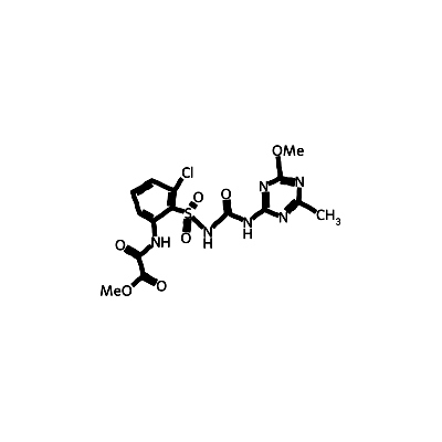 COC(=O)C(=O)Nc1cccc(Cl)c1S(=O)(=O)NC(=O)Nc1nc(C)nc(OC)n1